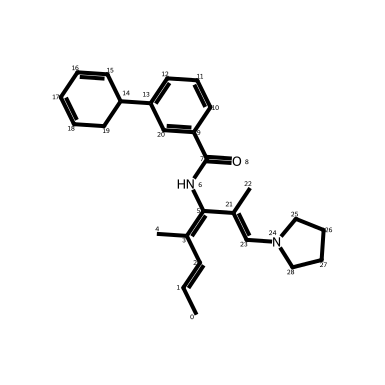 C/C=C/C(C)=C(NC(=O)c1cccc(C2C=CC=CC2)c1)\C(C)=C\N1CCCC1